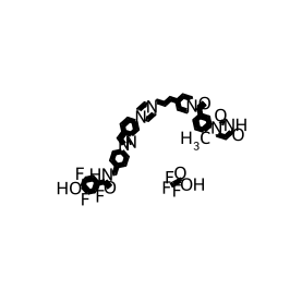 Cc1ccc(C(=O)N2CCC(CCCN3CCN(c4ccc5cn(C6CCC(CNC(=O)c7cc(F)c(O)c(F)c7F)CC6)nc5c4)CC3)CC2)cc1N1CCC(=O)NC1=O.O=C(O)C(F)(F)F